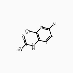 Nc1nc(Cl)ccc1NC(=O)O